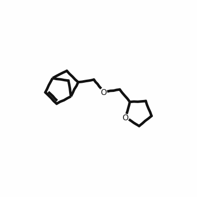 C1=CC2CC1CC2COCC1CCCO1